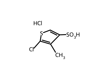 Cc1c(S(=O)(=O)O)csc1Cl.Cl